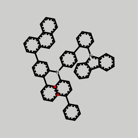 c1ccc(-c2ccc(N(c3ccc(-c4ccccc4-n4c5ccccc5c5ccccc54)cc3)c3cc(-c4cccc5c4ccc4ccccc45)ccc3-c3ccccc3)cc2)cc1